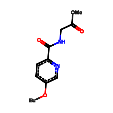 CCC(C)Oc1ccc(C(=O)NCC(=O)OC)nc1